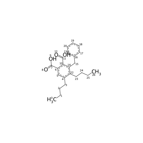 CCCCc1cc(C(=O)O)c(C(=O)O)c(Cc2ccccc2)c1CCCC